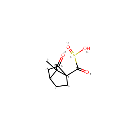 CC1(C)C2CCC1(C(=O)S(=O)O)C(=O)C2